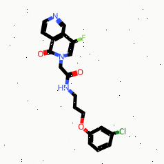 O=C(Cn1cc(F)c2cnccc2c1=O)NCCCOc1cccc(Cl)c1